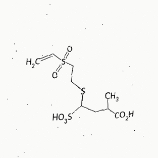 C=CS(=O)(=O)CCSC(CC(C)C(=O)O)S(=O)(=O)O